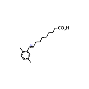 Cc1ccc(C)c(/C=C/CCCCCCCC(=O)O)c1